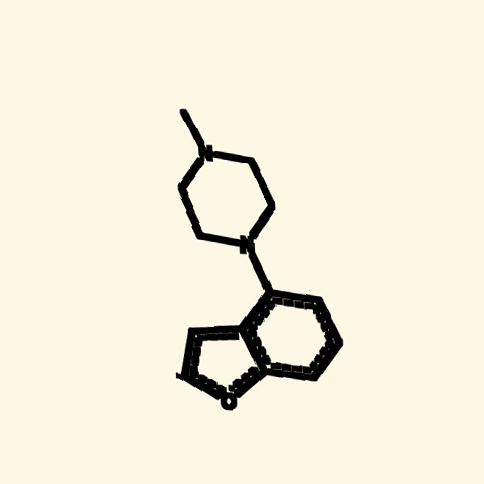 CN1CCN(c2cccc3o[c]cc23)CC1